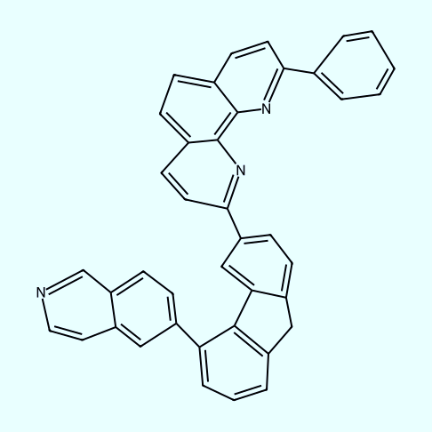 c1ccc(-c2ccc3ccc4ccc(-c5ccc6c(c5)-c5c(cccc5-c5ccc7cnccc7c5)C6)nc4c3n2)cc1